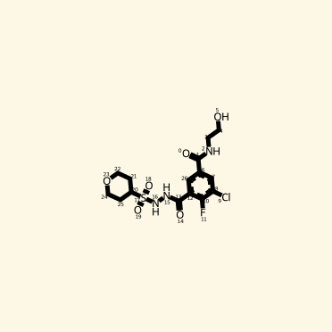 O=C(NCCO)c1cc(Cl)c(F)c(C(=O)NNS(=O)(=O)C2CCOCC2)c1